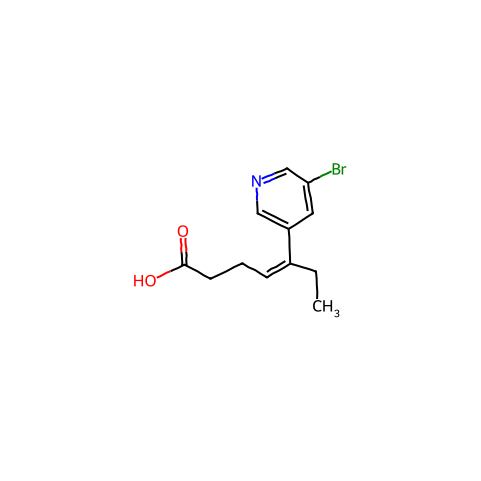 CC/C(=C/CCC(=O)O)c1cncc(Br)c1